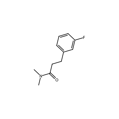 CN(C)C(=O)CCc1cccc(F)c1